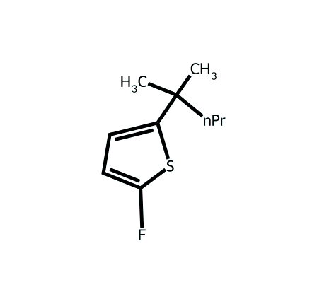 CCCC(C)(C)c1ccc(F)s1